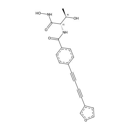 C[C@@H](O)[C@H](NC(=O)c1ccc(C#CC#Cc2ccoc2)cc1)C(=O)NO